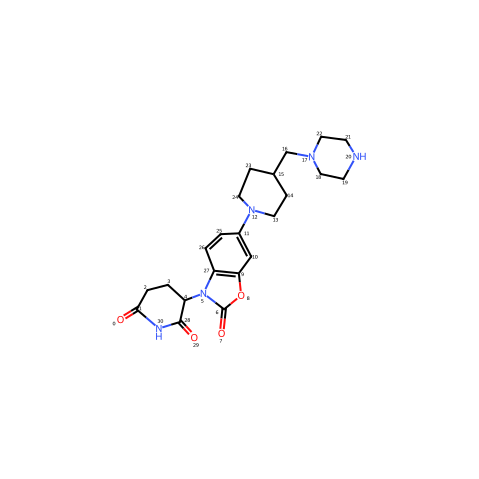 O=C1CCC(n2c(=O)oc3cc(N4CCC(CN5CCNCC5)CC4)ccc32)C(=O)N1